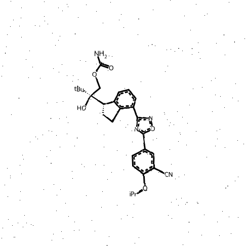 CC(C)Oc1ccc(-c2nc(-c3cccc4c3CC[C@@H]4[C@@](O)(COC(N)=O)C(C)(C)C)no2)cc1C#N